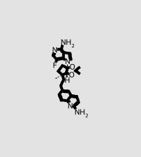 CC1(C)O[C@@H]2[C@@](C)(CCc3ccc4nc(N)ccc4c3)CC[C@@]2(n2ccc3c(N)ncc(F)c32)O1